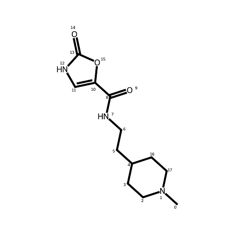 CN1CCC(CCNC(=O)c2c[nH]c(=O)o2)CC1